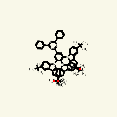 Cc1ccc2c(c1)c1cc(C(C)(C)C)ccc1n2-c1cc(-c2nc(-c3ccccc3)nc(-c3ccccc3)n2)cc(-n2c3ccc(C(C)(C)C)cc3c3cc(C(C)(C)C)ccc32)c1-n1c2ccc(C(C)(C)C)cc2c2cc(C(C)(C)C)ccc21